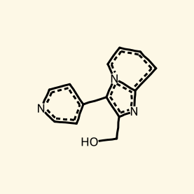 OCc1nc2ccccn2c1-c1ccncc1